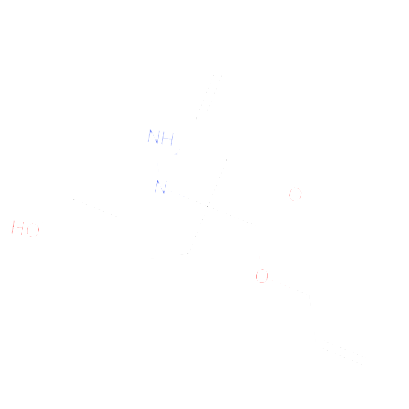 C=CCOC(=O)C(CC)(CC=C)N(N)CCO